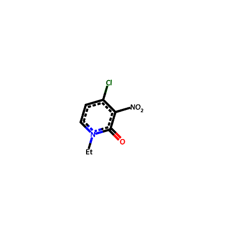 CCn1ccc(Cl)c([N+](=O)[O-])c1=O